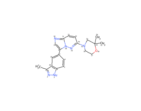 Cc1n[nH]c2ccc(-c3cnc4ccc(N5CCOC(C)(C)C5)nn34)cc12